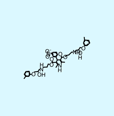 CC1=C(C(=O)OCCCNCC(O)COc2cccc(C)c2)C(c2cccc([N+](=O)[O-])c2)C(C(=O)OCCCNCC(O)COc2cccc(C)c2)=C(C)N1